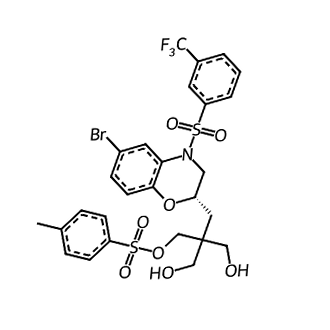 Cc1ccc(S(=O)(=O)OCC(CO)(CO)C[C@H]2CN(S(=O)(=O)c3cccc(C(F)(F)F)c3)c3cc(Br)ccc3O2)cc1